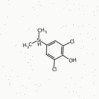 C[SiH](C)c1cc(Cl)c(O)c(Cl)c1